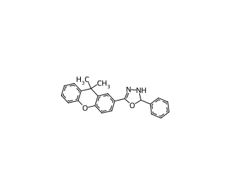 CC1(C)c2ccccc2Oc2ccc(C3=NNC(c4ccccc4)O3)cc21